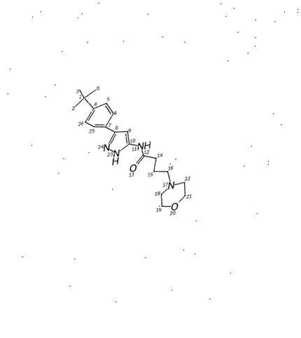 CC(C)(C)c1ccc(-c2cc(NC(=O)CCCN3CCOCC3)[nH]n2)cc1